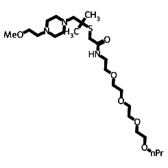 CCCOCCOCCOCCOCCNC(=O)CSC(C)(C)CN1CCN(CCOC)CC1